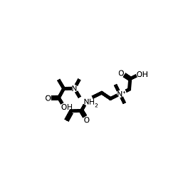 C=CC(N)=O.CC(C(=O)O)N(C)C.CCC[N+](C)(C)CC(=O)O